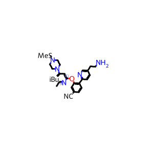 C=C(/C=C(\N=C(\C)C(C)CC)Oc1cc(C#N)ccc1-c1ccc(CCN)cn1)N1CCN(SC)CC1